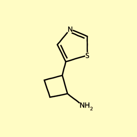 NC1CCC1c1cncs1